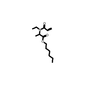 C=CC(=O)N(CC)C(C)C(=O)OCCCCCC